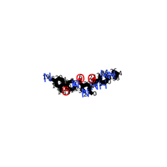 Cc1ncc(C(=O)N2CCC3(CC2)OCc2cc(C#N)ccc23)cc1NC(=O)c1ccc(N2CCC2)nc1